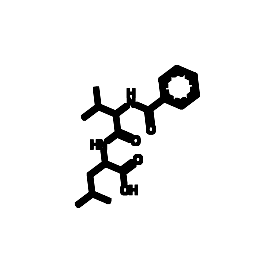 CC(C)CC(NC(=O)C(NC(=O)c1ccccc1)C(C)C)C(=O)O